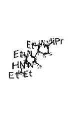 CCc1nc(C(C)C)ccc1-c1nc(CC)c(NC(CC)CC)nc1C